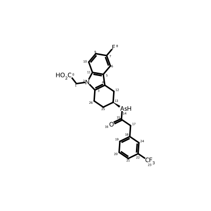 O=C(O)Cn1c2c(c3cc(F)ccc31)C[C@@H]([AsH]C(=O)Cc1cccc(C(F)(F)F)c1)CC2